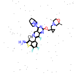 C[C@@H]1CO[C@@H](C)CN1CC1(COc2nc(N3CC4CCC(C3)N4)c3cnc(-c4cc(F)c(F)c5sc(N)c(C#N)c45)c(F)c3n2)CC1